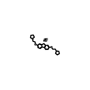 Cl.Cl.c1cc2c(cc1OCCN1CCCC1)Cc1cc(OCCN3CCCC3)ccc1-2